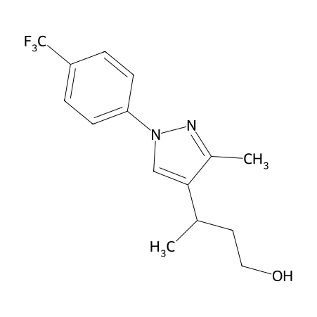 Cc1nn(-c2ccc(C(F)(F)F)cc2)cc1C(C)CCO